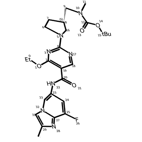 CCOc1nc(N2CC[C@H](CN(C)C(=O)OC(C)(C)C)C2)ncc1C(=O)Nc1cc(F)c2nc(C)cn2c1